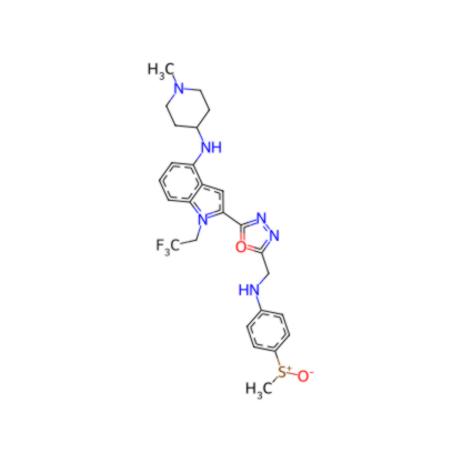 CN1CCC(Nc2cccc3c2cc(-c2nnc(CNc4ccc([S+](C)[O-])cc4)o2)n3CC(F)(F)F)CC1